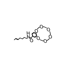 CC=CCCCCNC(=O)c1ccc2c(c1)OCCOCCOCCOCCOCCO2